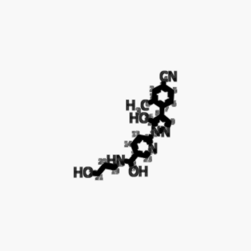 Cc1cc(C#N)ccc1-c1cnn(-c2ccc(C(O)N/C=C/CO)cn2)c1O